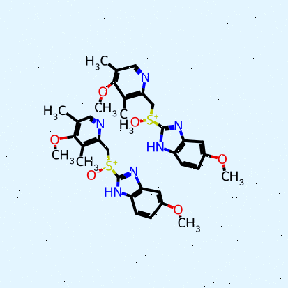 COc1ccc2[nH]c([S+]([O-])Cc3ncc(C)c(OC)c3C)nc2c1.COc1ccc2[nH]c([S@@+]([O-])Cc3ncc(C)c(OC)c3C)nc2c1